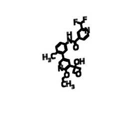 CCOc1ncc(-c2cc(NC(=O)c3ccnc(C(F)F)c3)ccc2C)cc1C1(O)COC1